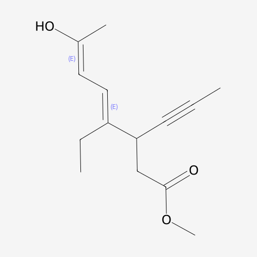 CC#CC(CC(=O)OC)/C(=C/C=C(\C)O)CC